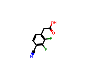 N#Cc1ccc(CC(=O)O)c(F)c1F